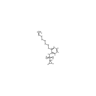 C=CCCCCCCc1ccccc1CS(=O)(=O)N1CC1